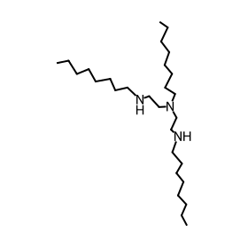 CCCCCCCCNCCN(CCCCCCCC)CCNCCCCCCCC